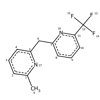 Cc1cccc(Cc2cccc(C(F)(F)F)n2)n1